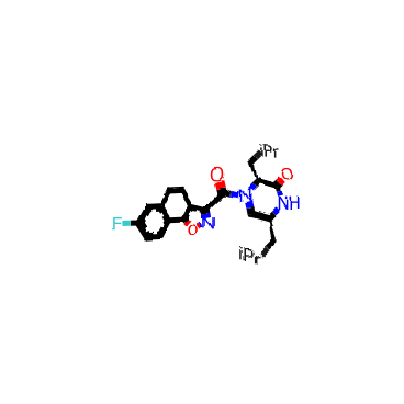 CC(C)C[C@H]1CN(C(=O)c2noc3c2CCc2cc(F)ccc2-3)[C@@H](CC(C)C)C(=O)N1